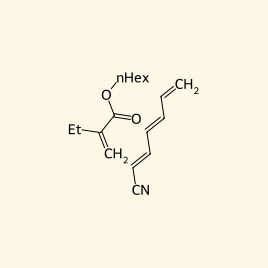 C=C(CC)C(=O)OCCCCCC.C=CC=CC=CC#N